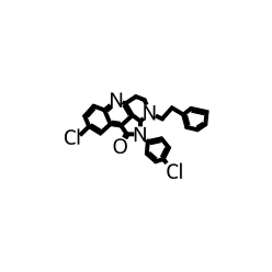 O=C1c2c3c(nc4ccc(Cl)cc24)CCN(CCc2ccccc2)C3N1c1ccc(Cl)cc1